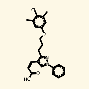 Cc1cc(OCCCc2nn(-c3ccccc3)cc2/C=C\C(=O)O)cc(C)c1Cl